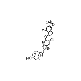 CS(=O)(=O)c1cc(F)c2c(c1)CCC2Oc1nc2nc(O[C@@H]3CO[C@H]4[C@@H]3OC[C@H]4O)[nH]c2cc1Cl